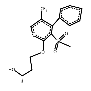 C[C@H](O)CCOc1ncc(C(F)(F)F)c(-c2ccccc2)c1S(C)(=O)=O